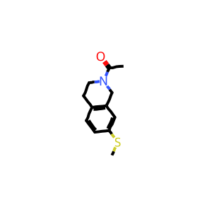 CSc1ccc2c(c1)CN(C(C)=O)CC2